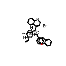 C=C[C@H]1C[N+]2(Cc3ccccc3)CC[C@H]1C[C@@H]2[C@@H](OCc1ccc2ccccc2c1)c1ccnc2ccccc12.[Br-]